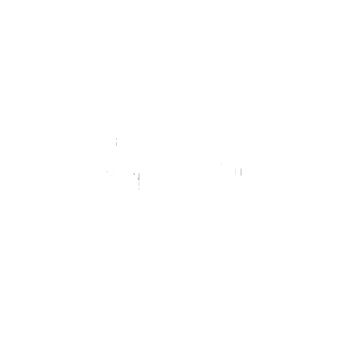 CSc1ccc(/C(=C/C2CCCC2)c2ccc(Cl)c(=O)[nH]2)cc1